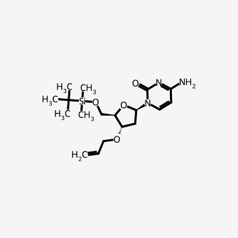 C=CCO[C@H]1C[C@H](n2ccc(N)nc2=O)O[C@@H]1CO[Si](C)(C)C(C)(C)C